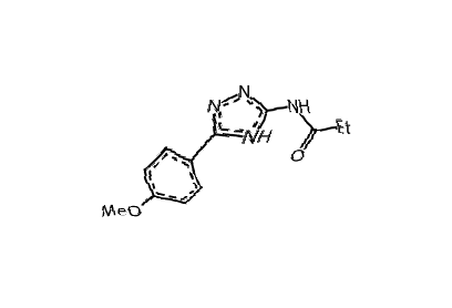 CCC(=O)Nc1nnc(-c2ccc(OC)cc2)[nH]1